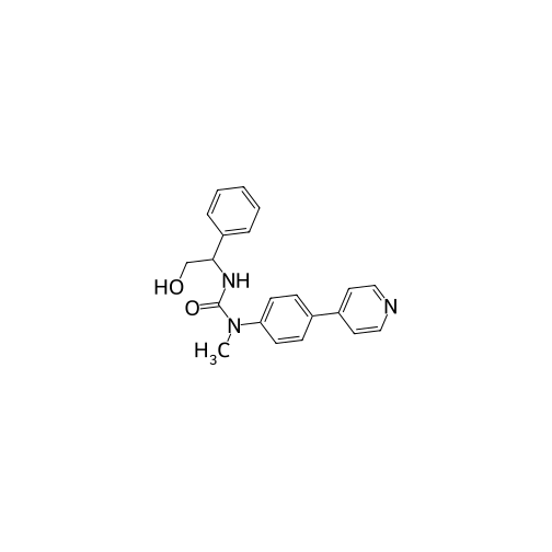 CN(C(=O)NC(CO)c1ccccc1)c1ccc(-c2ccncc2)cc1